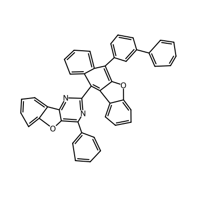 c1ccc(-c2cccc(-c3c4ccccc4c(-c4nc(-c5ccccc5)c5oc6ccccc6c5n4)c4c3oc3ccccc34)c2)cc1